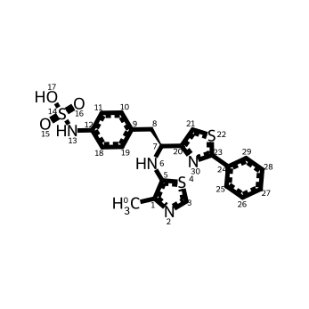 Cc1ncsc1N[C@@H](Cc1ccc(NS(=O)(=O)O)cc1)c1csc(-c2ccccc2)n1